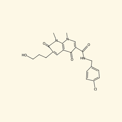 Cn1cc(C(=O)NCc2ccc(Cl)cc2)c(=O)c2cc(CCCO)c(=O)n(C)c21